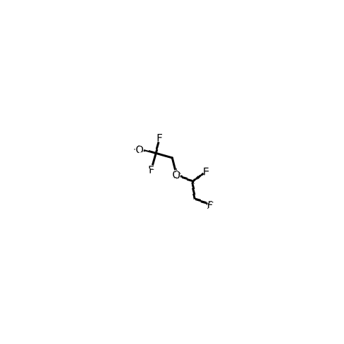 [O]C(F)(F)COC(F)CF